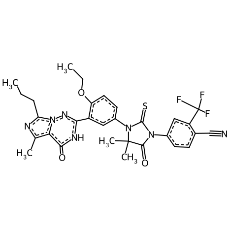 CCCc1nc(C)c2c(=O)[nH]c(-c3cc(N4C(=S)N(c5ccc(C#N)c(C(F)(F)F)c5)C(=O)C4(C)C)ccc3OCC)nn12